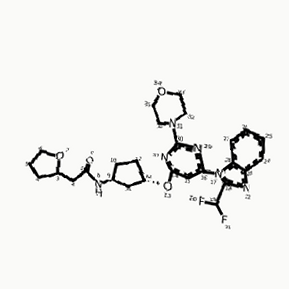 O=C(CC1CCCO1)N[C@H]1CC[C@H](Oc2cc(-n3c(C(F)F)nc4ccccc43)nc(N3CCOCC3)n2)C1